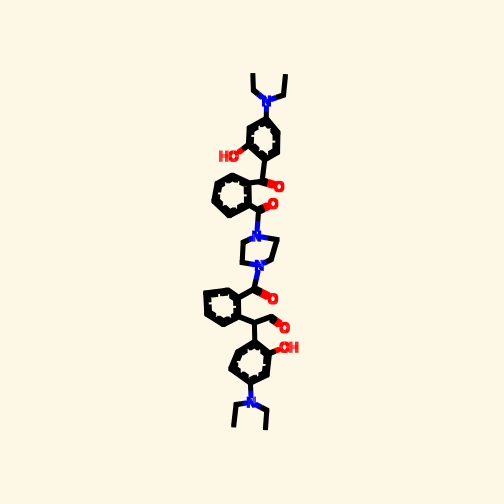 CCN(CC)c1ccc(C(=O)c2ccccc2C(=O)N2CCN(C(=O)c3ccccc3C(C=O)c3ccc(N(CC)CC)cc3O)CC2)c(O)c1